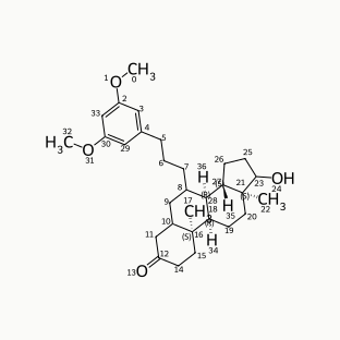 COc1cc(CCCC2CC3CC(=O)CC[C@]3(C)[C@@H]3CC[C@]4(C)C(O)CC[C@H]4[C@H]23)cc(OC)c1